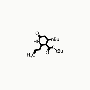 C=CCC1NC(=O)CC(CCCC)C1C(=O)OC(C)(C)C